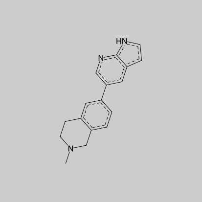 CN1CCc2cc(-c3cnc4[nH]ccc4c3)ccc2C1